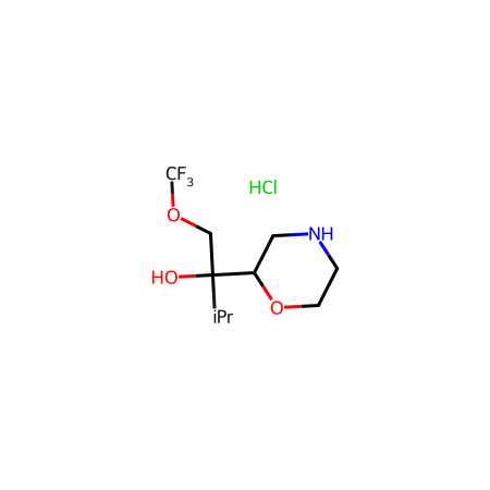 CC(C)C(O)(COC(F)(F)F)C1CNCCO1.Cl